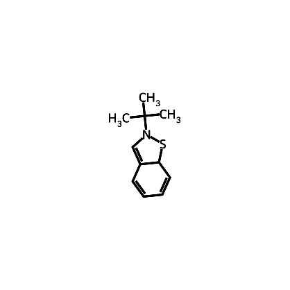 CC(C)(C)N1C=C2C=CC=CC2S1